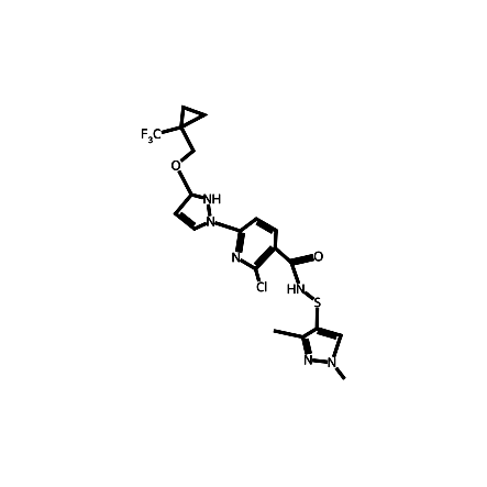 Cc1nn(C)cc1SNC(=O)c1ccc(N2C=CC(OCC3(C(F)(F)F)CC3)N2)nc1Cl